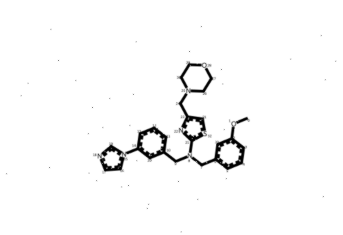 COc1cccc(CN(Cc2cccc(-n3ccnc3)c2)c2nc(CN3CCOCC3)cs2)c1